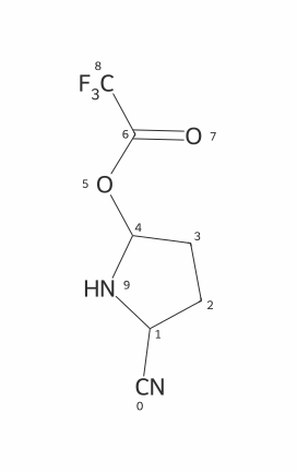 N#CC1CCC(OC(=O)C(F)(F)F)N1